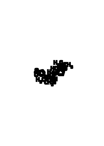 CN(C)S(=O)(=O)c1cccc(Nc2nsnc2N[C@@H](c2ccc3c(c2)OCO3)C(C)(C)C)c1O